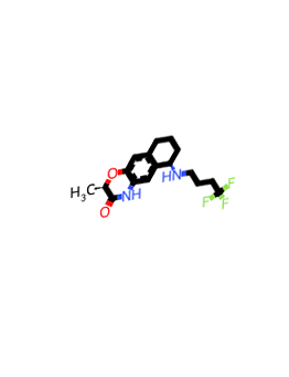 C[C@@H]1Oc2cc3c(cc2NC1=O)[C@H](NCCCC(F)(F)F)CCC3